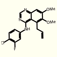 C=CCc1c(OC)c(OC)cc2ncnc(Nc3ccc(Cl)c(F)c3)c12